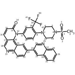 CS(=O)(=O)N1CCN(c2ccc(-n3c(=O)ccc4cnc5ccc(-c6cnc7ccccc7c6)cc5c43)cc2C(F)(F)F)CC1